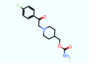 NC(=O)OCC1CCN(CC(=O)c2ccc(F)cc2)CC1